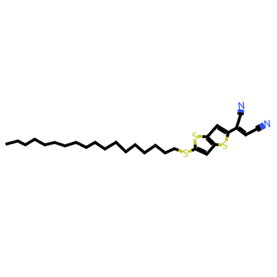 CCCCCCCCCCCCCCCCCCSc1cc2sc(/C(C#N)=C/C#N)cc2s1